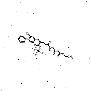 CCOC(=O)CC(=O)CNC(=O)CCN(Cc1ccc(-c2ccccc2)c(Cl)c1)C(=O)OC(C)(C)C